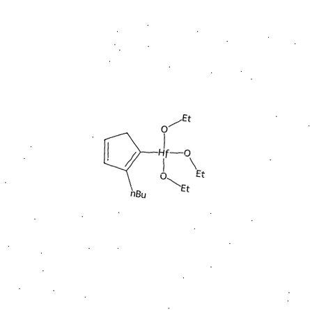 CCCCC1=[C]([Hf]([O]CC)([O]CC)[O]CC)CC=C1